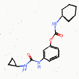 O=C(Nc1cccc(OC(=O)NC2CCCCC2)c1)NC1CC1